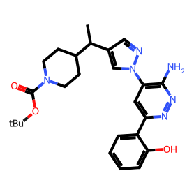 CC(c1cnn(-c2cc(-c3ccccc3O)nnc2N)c1)C1CCN(C(=O)OC(C)(C)C)CC1